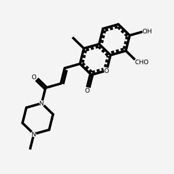 Cc1c(C=CC(=O)N2CCN(C)CC2)c(=O)oc2c(C=O)c(O)ccc12